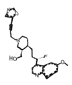 COc1ccc2nccc([C@@H](F)CC[C@@H]3CCN(CC#Cc4cnco4)C[C@@H]3CO)c2c1